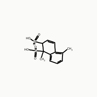 Cc1cccc2c1C=CC(S(=O)(=O)O)C2(C)S(=O)(=O)O